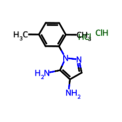 Cc1ccc(C)c(-n2ncc(N)c2N)c1.Cl.Cl